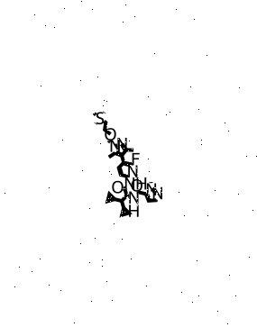 Cc1nn(COCCS(C)(C)C)c(C)c1-c1ccc(NC(=O)C(NC(=O)c2ccnn2C)C(C2CC2)C2CC2)nc1F